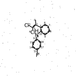 CC(=C(Cl)Cl)c1ccccc1Nc1ccc(F)cc1